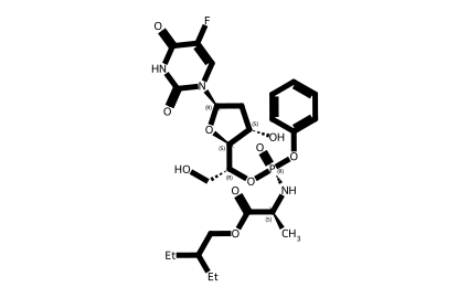 CCC(CC)COC(=O)[C@H](C)N[P@](=O)(Oc1ccccc1)O[C@H](CO)[C@H]1O[C@@H](n2cc(F)c(=O)[nH]c2=O)C[C@@H]1O